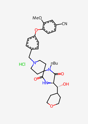 CCCCN1C(=O)[C@@H]([C@H](O)C2CCOCC2)NC(=O)C12CCN(Cc1ccc(Oc3ccc(C#N)cc3OC)cc1)CC2.Cl